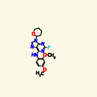 COc1ccc(Nc2nc(F)nc3c2ncn3C2CCCCO2)c(OC)c1